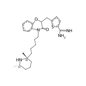 C[C@H]1CCC[C@@](C)(CCCCCN2C(=O)C(Cc3ccc(C(=N)N)s3)Oc3ccccc32)N1